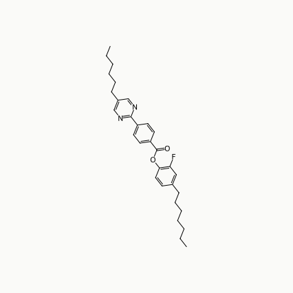 CCCCCCCc1ccc(OC(=O)c2ccc(-c3ncc(CCCCCC)cn3)cc2)c(F)c1